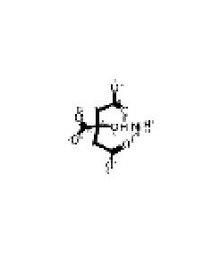 O=C([O-])CC(O)(CC(=O)[O-])C(=O)[O-].[H+].[Ni+2]